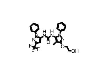 Cc1c(OCCO)nn(-c2ccccc2)c1NC(=O)Nc1cc(C(F)(F)F)nn1-c1ccccc1